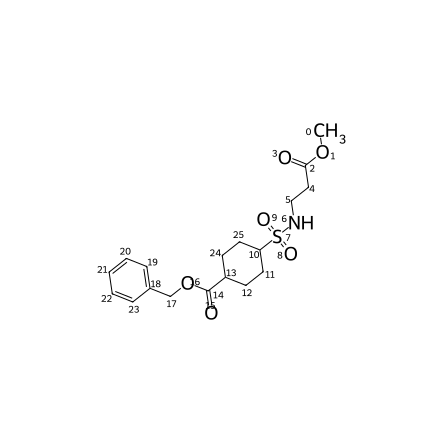 COC(=O)CCNS(=O)(=O)C1CCC(C(=O)OCc2ccccc2)CC1